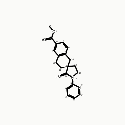 COC(=O)c1ccc2c(c1)CC[C@]1(CCN(c3ccccn3)C1=O)C2